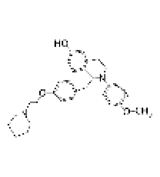 COc1ccc(N2CCc3cc(O)ccc3C2Cc2ccc(OCCN3CCCCC3)cc2)cn1